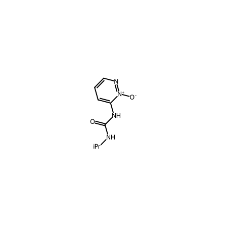 CC(C)NC(=O)Nc1cccn[n+]1[O-]